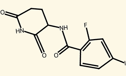 O=C1CCC(NC(=O)c2ccc(I)cc2F)C(=O)N1